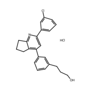 Cl.OCCCc1cccc(-c2cc(-c3cccc(Cl)c3)nc3c2CCC3)c1